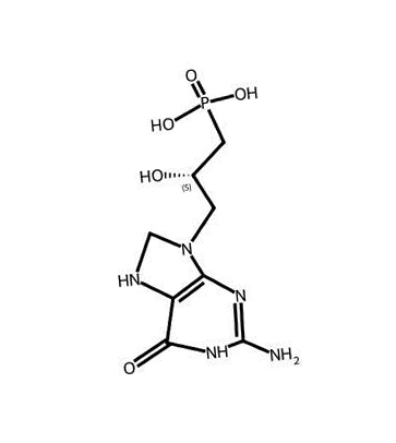 Nc1nc2c(c(=O)[nH]1)NCN2C[C@H](O)CP(=O)(O)O